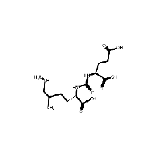 BNCC(C)CC[C@H](NC(=O)N[C@@H](CCC(=O)O)C(=O)O)C(=O)O